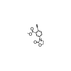 C#Cc1ccc(N2CCOC2=O)cc1C(=O)OC